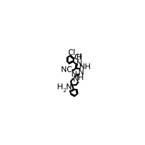 [2H]C1(N2CCC(N)(c3ccccc3)CC2)N=C(C#N)C2=C(c3cccc(Cl)c3Cl)NNC2=N1